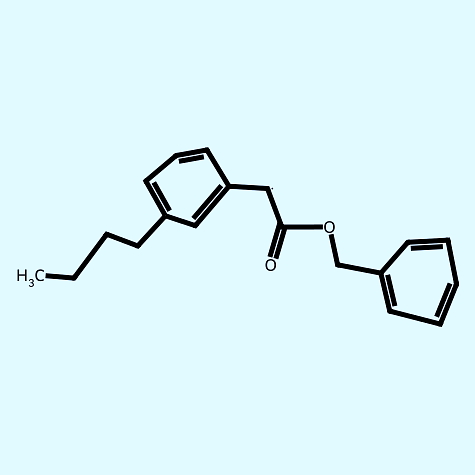 CCCCc1cccc([CH]C(=O)OCc2ccccc2)c1